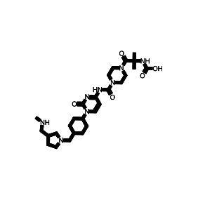 CNCC1CCN(CC2CCC(n3ccc(NC(=O)N4CCN(C(=O)C(C)(C)NC(=O)O)CC4)nc3=O)CC2)C1